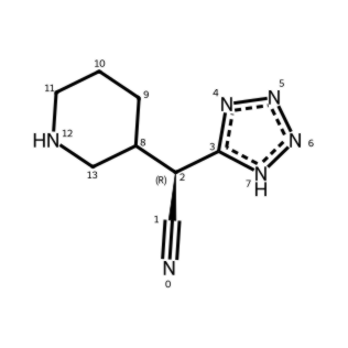 N#C[C@H](c1nnn[nH]1)C1CCCNC1